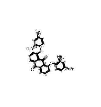 CCCc1ccc(Sc2cccc3c2C(=O)c2c(Sc4ccc(CCC)cc4N)cccc2C3=O)c(N)c1